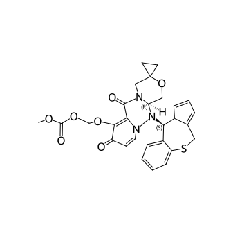 COC(=O)OCOc1c2n(ccc1=O)N([C@@H]1c3ccccc3SCC3=CC=CC31)[C@@H]1COC3(CC3)CN1C2=O